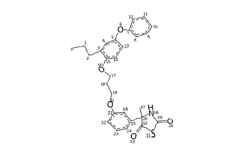 CCCc1cc(Oc2ccccc2)ccc1OCCCOc1cccc(C2(C)NC(=O)SC2=O)c1